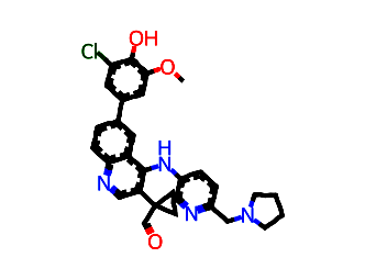 COc1cc(-c2ccc3ncc(C4(C=O)CC4)c(Nc4ccc(CN5CCCC5)nc4)c3c2)cc(Cl)c1O